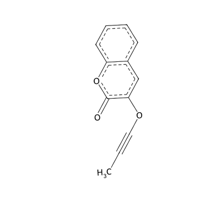 CC#COc1cc2ccccc2oc1=O